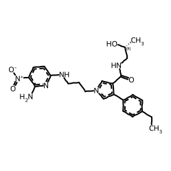 CCc1ccc(-c2cn(CCCNc3ccc([N+](=O)[O-])c(N)n3)cc2C(=O)NC[C@@H](C)O)cc1